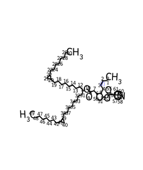 CC/C=C\CC1C(CC(=O)OC(CCCCCCCCC2CC2CCCCCCCC)CCCCCCCCC2CC2CCCCCCCC)CCC1OC(=O)C12CCN(CC1)CC2